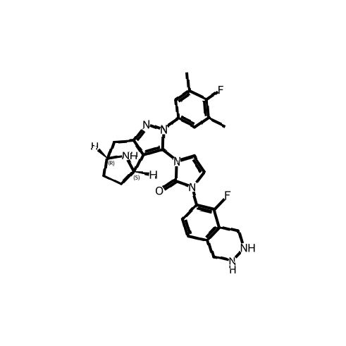 Cc1cc(-n2nc3c(c2-n2ccn(-c4ccc5c(c4F)CNNC5)c2=O)[C@@H]2CC[C@H](C3)N2)cc(C)c1F